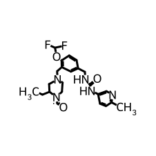 CCC1CN(Cc2cc(CNC(=O)Nc3ccc(C)nc3)ccc2OC(F)F)CCN1[C]=O